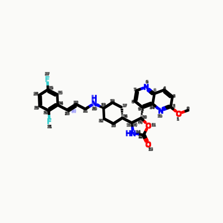 COc1ccc2nccc([C@@H]3OC(=O)N[C@H]3[C@H]3CC[C@H](NC/C=C/c4cc(F)ccc4F)CC3)c2n1